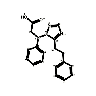 O=C(O)CN(c1ccccc1)n1n[c]nc1SCc1ccccc1